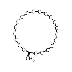 C=C1CCCCCCCCCCCCCCCCCCCO1